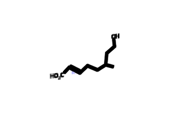 CC(CCO)CC/C=C/C(=O)O